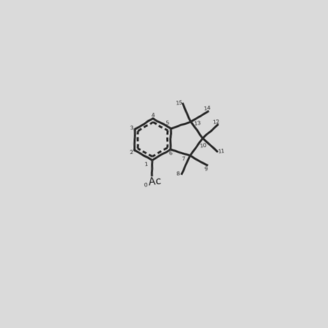 CC(=O)c1cccc2c1C(C)(C)C(C)(C)C2(C)C